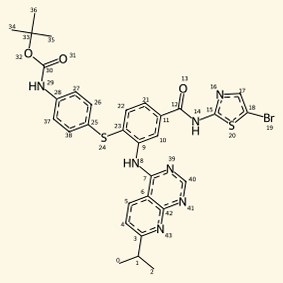 CC(C)c1ccc2c(Nc3cc(C(=O)Nc4ncc(Br)s4)ccc3Sc3ccc(NC(=O)OC(C)(C)C)cc3)ncnc2n1